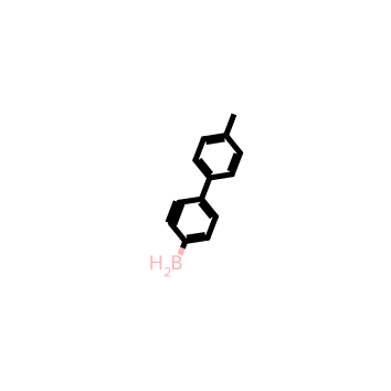 Bc1c#cc(-c2ccc(C)cc2)cc1